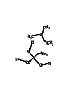 CCO[Si]([SiH3])(OCC)OCC.CN(C)C